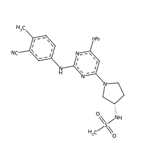 CCCc1cc(N2CC[C@H](NS(C)(=O)=O)C2)nc(Nc2ccc(C)c(C#N)c2)n1